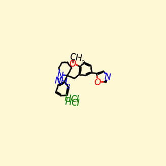 COc1ccc(-c2cnco2)cc1CC1(c2ccccc2)CCCCN1N.Cl.Cl